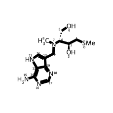 CSC[C@@H](O)[C@@H](CO)N(C)Cc1c[nH]c2c(N)ncnc12